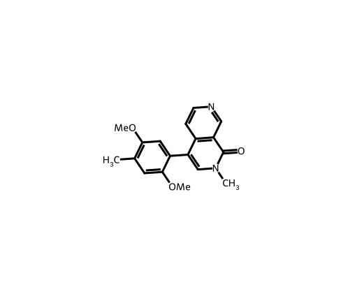 COc1cc(-c2cn(C)c(=O)c3cnccc23)c(OC)cc1C